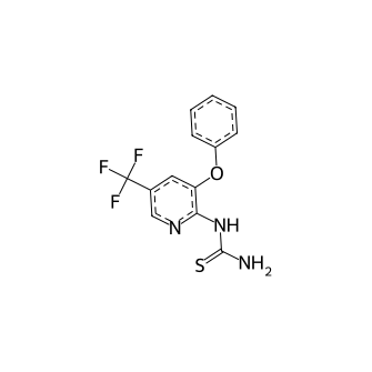 NC(=S)Nc1ncc(C(F)(F)F)cc1Oc1ccccc1